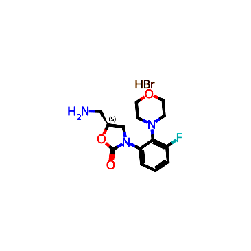 Br.NC[C@H]1CN(c2cccc(F)c2N2CCOCC2)C(=O)O1